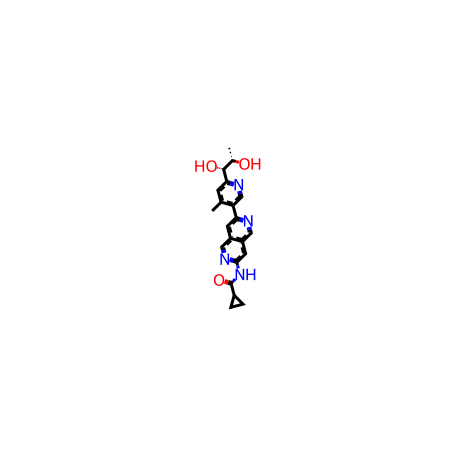 Cc1cc([C@H](O)[C@H](C)O)ncc1-c1cc2cnc(NC(=O)C3CC3)cc2cn1